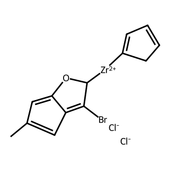 CC1=CC2=C(Br)[CH]([Zr+2][C]3=CC=CC3)OC2=C1.[Cl-].[Cl-]